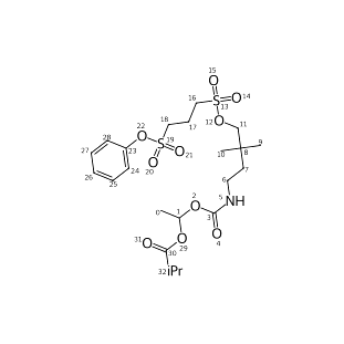 CC(OC(=O)NCCC(C)(C)COS(=O)(=O)CCCS(=O)(=O)Oc1ccccc1)OC(=O)C(C)C